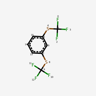 FC(F)(F)Sc1[c]c(SC(F)(F)F)ccc1